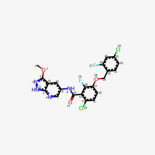 COc1n[nH]c2ncc(NC(=O)c3c(Cl)ccc(OCc4ccc(Cl)cc4F)c3F)cc12